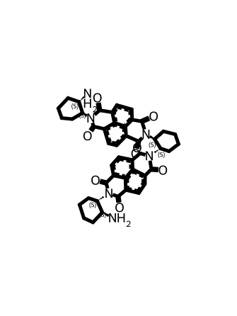 N[C@H]1CCCC[C@@H]1N1C(=O)c2ccc3c4c(ccc(c24)C1=O)C(=O)N([C@H]1CCCC[C@@H]1N1C(=O)c2ccc4c5c(ccc(c25)C1=O)C(=O)N([C@H]1CCCC[C@@H]1N)C4=O)C3=O